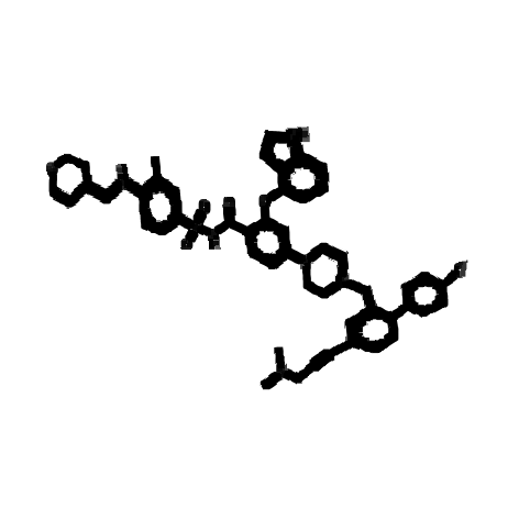 Cc1cc(S(=O)(=O)NC(=O)c2ccc(N3CCN(Cc4cc(C#CCN(C)C)ccc4-c4ccc(Cl)cc4)CC3)cc2Oc2cccc3[nH]ccc23)ccc1NCC1CCOCC1